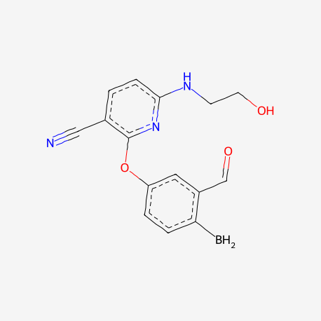 Bc1ccc(Oc2nc(NCCO)ccc2C#N)cc1C=O